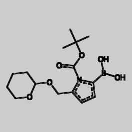 CC(C)(C)OC(=O)n1c(COC2CCCCO2)ccc1B(O)O